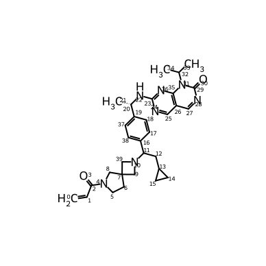 C=CC(=O)N1CCC2(C1)CN(C(CC1CC1)c1ccc([C@H](C)Nc3ncc4cnc(=O)n(C(C)C)c4n3)cc1)C2